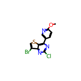 COc1ccc(-c2nc(Cl)nc3c(Br)csc23)cn1